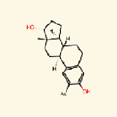 CC(=O)c1cc2c(cc1O)CC[C@@H]1[C@@H]2CC[C@]2(C)[C@H](O)CC[C@@H]12